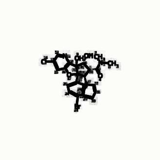 CN(C)C(=O)[C@H]1[C@@H](O)[C@@]2(O)c3ncc(Cl)cc3O[C@@]2(c2ccc(Br)cc2)[C@@H]1c1ccccc1